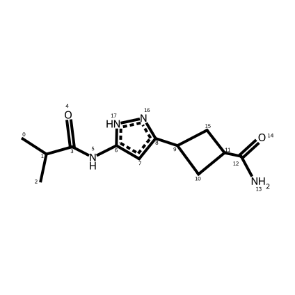 CC(C)C(=O)Nc1cc(C2CC(C(N)=O)C2)n[nH]1